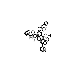 C[C@@]12Oc3cc(-c4cccnc4)oc(=O)c3C(O)C1C[C@@H](OC(=O)Cc1cccs1)C[C@H]2OC(=O)Cc1cccs1